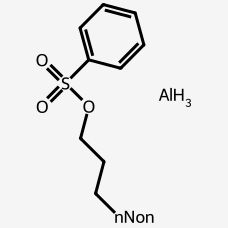 CCCCCCCCCCCCOS(=O)(=O)c1ccccc1.[AlH3]